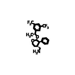 C[C@@H](O[C@H]1OCC[C@@H](CN)[C@@H]1c1ccccc1)c1cc(C(F)(F)F)cc(C(F)(F)F)c1